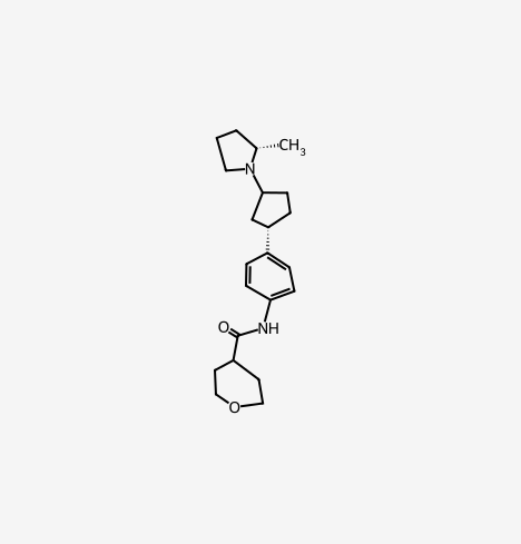 C[C@H]1CCCN1C1CC[C@H](c2ccc(NC(=O)C3CCOCC3)cc2)C1